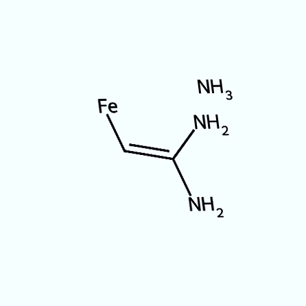 N.NC(N)=[CH][Fe]